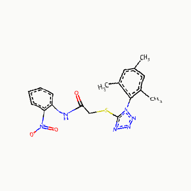 Cc1cc(C)c(-n2nnnc2SCC(=O)Nc2ccccc2[N+](=O)[O-])c(C)c1